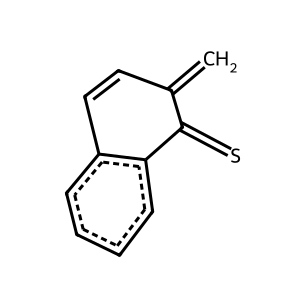 C=C1C=Cc2ccccc2C1=S